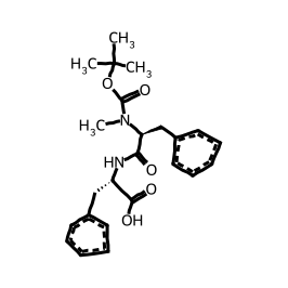 CN(C(=O)OC(C)(C)C)[C@@H](Cc1ccccc1)C(=O)N[C@@H](Cc1ccccc1)C(=O)O